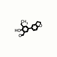 CCc1cc(-c2ccc3c(c2)CCO3)cc(C=O)c1O